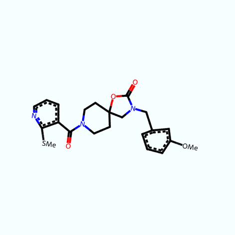 COc1cccc(CN2CC3(CCN(C(=O)c4cccnc4SC)CC3)OC2=O)c1